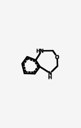 c1ccc2c(c1)NCOCN2